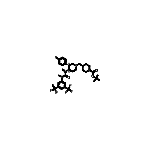 CN(C(=O)N(C)[C@@H]1CCN(CC2CCN(C(=O)OC(C)(C)C)CC2)C[C@H]1c1ccc(F)cc1)c1cc(C(F)(F)F)cc(C(F)(F)F)c1